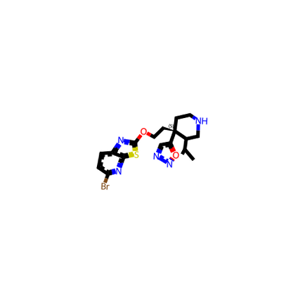 CC(C)C1CNCC[C@@]1(CCOc1nc2ccc(Br)nc2s1)c1cnno1